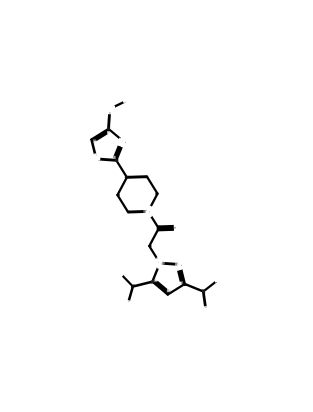 O=C(O)Oc1csc(C2CCN(C(=O)Cn3nc(C(F)F)cc3C(F)F)CC2)n1